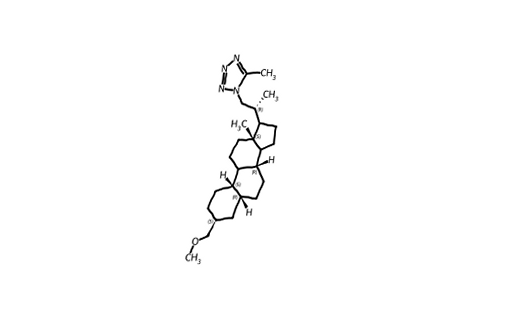 COC[C@H]1CC[C@@H]2C3CC[C@@]4(C)C(CCC4[C@@H](C)Cn4nnnc4C)[C@@H]3CC[C@@H]2C1